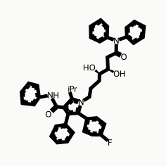 CC(C)c1c(C(=O)Nc2ccccc2)c(-c2ccccc2)c(-c2ccc(F)cc2)n1CCC[C@@H](O)[C@H](O)CC(=O)N(c1ccccc1)c1ccccc1